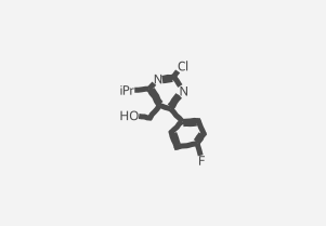 CC(C)c1nc(Cl)nc(-c2ccc(F)cc2)c1CO